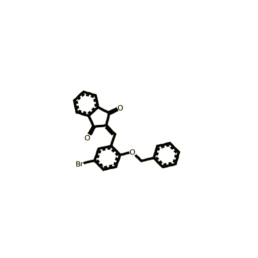 O=C1C(=Cc2cc(Br)ccc2OCc2ccccc2)C(=O)c2ccccc21